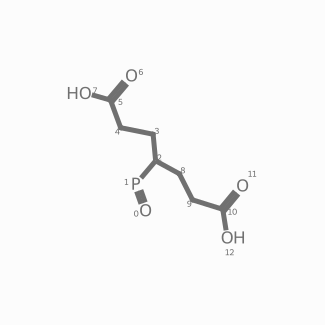 O=PC(CCC(=O)O)CCC(=O)O